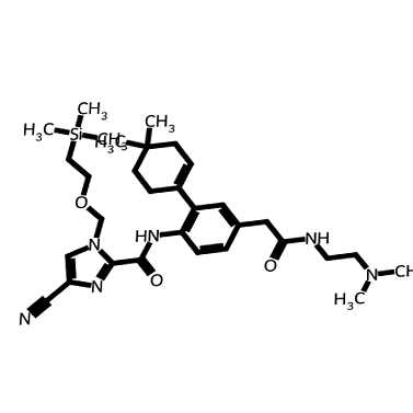 CN(C)CCNC(=O)Cc1ccc(NC(=O)c2nc(C#N)cn2COCC[Si](C)(C)C)c(C2=CCC(C)(C)CC2)c1